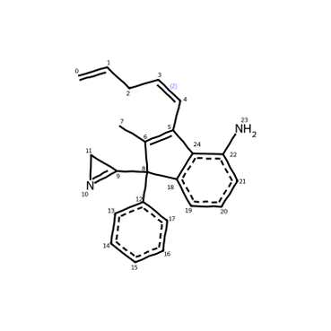 C=CC/C=C\C1=C(C)C(C2=NC2)(c2ccccc2)c2cccc(N)c21